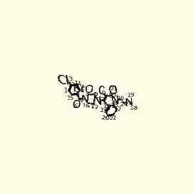 CCOC(=O)c1c(N2CCN(C(=O)c3ccc(Cl)cc3)CC2)c2ccccc2n(CCN(C)C)c1=O